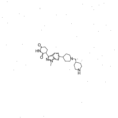 C[C@@H]1CNCC[C@H]1CN1CCC(c2ccc3c(C4CCC(=O)NC4=O)nn(C)c3c2)CC1